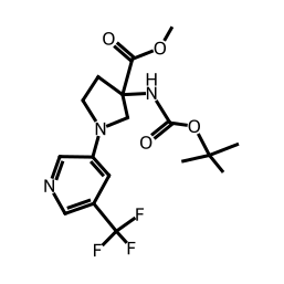 COC(=O)C1(NC(=O)OC(C)(C)C)CCN(c2cncc(C(F)(F)F)c2)C1